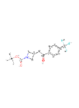 CC(C)(C)OC(=O)N1CC(CC(=O)c2ccc(C(F)(F)F)cc2)C1